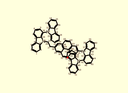 c1ccc2c(c1)c1cccc(-n3c4ccccc4c4ccccc43)c1n2CCc1cc2ccc3cc(-n4c5ccccc5c5cccc(-n6c7ccccc7c7ccccc76)c54)cc4ccc(c1)c2c34